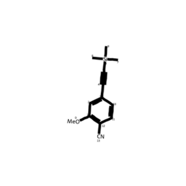 COc1cc(C#C[Si](C)(C)C)ccc1C#N